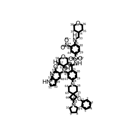 Cc1ccccc1[C@@H]1CCCN1C1CC2(CCN(c3ccc(C(=O)NS(=O)(=O)c4ccc(NCC5CCOCC5)c([N+](=O)[O-])c4)c(N4c5cc6cc[nH]c6nc5O[C@@H]5COCC[C@@H]54)c3)CC2)C1